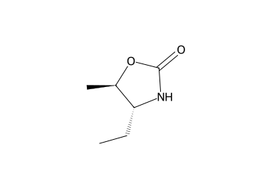 CC[C@H]1NC(=O)O[C@@H]1C